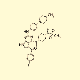 CN1CCN(c2ccc(Nc3nc(NC4CCC(NS(C)(=O)=O)CC4)c4c(C(=O)c5ccc(F)cc5)c[nH]c4n3)cc2)CC1